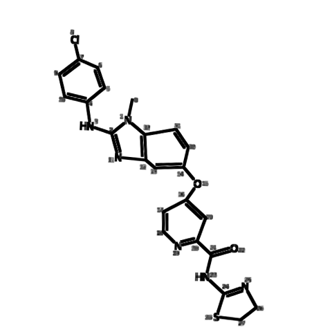 Cn1c(Nc2ccc(Cl)cc2)nc2cc(Oc3ccnc(C(=O)NC4=NCCS4)c3)ccc21